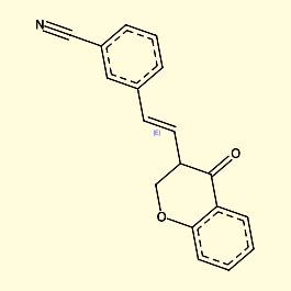 N#Cc1cccc(/C=C/C2COc3ccccc3C2=O)c1